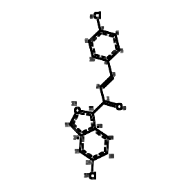 O=C(C=Cc1ccc(Cl)cc1)c1occ2cc(Cl)ccc12